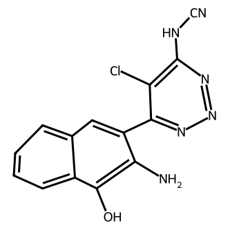 N#CNc1nnnc(-c2cc3ccccc3c(O)c2N)c1Cl